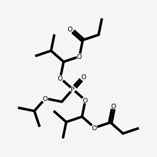 CCC(=O)OC(OP(=O)(COC(C)C)OC(OC(=O)CC)C(C)C)C(C)C